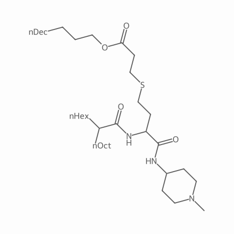 CCCCCCCCCCCCCOC(=O)CCSCCC(NC(=O)C(CCCCCC)CCCCCCCC)C(=O)NC1CCN(C)CC1